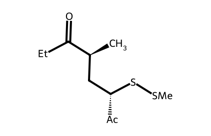 CCC(=O)[C@@H](C)C[C@H](SSC)C(C)=O